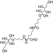 O=CC(CCCCNC(=O)CCCCOC(O)C(O)C(O)C(O)CCO)NC(=O)CCCCOC(O)/C(O)=C(\O)C(O)CCO